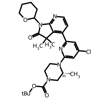 C[C@@H]1CN(C(=O)OC(C)(C)C)CCN1c1cc(Cl)cc(-c2ccnc3c2C(C)(C)C(=O)N3C2CCCCO2)n1